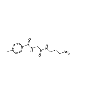 Cc1ccc(C(=O)NCC(=O)NCCCN)cc1